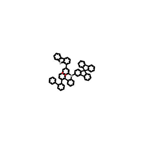 c1ccc(-c2ccccc2-c2ccccc2-c2ccccc2N(c2cccc(-c3cccc4c3sc3ccccc34)c2)c2ccc3c(c2)-c2ccccc2C32c3ccccc3-c3ccccc32)cc1